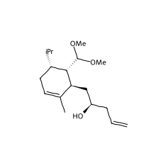 C=CC[C@@H](O)C[C@H]1C(C)=CC[C@H](C(C)C)[C@@H]1C(OC)OC